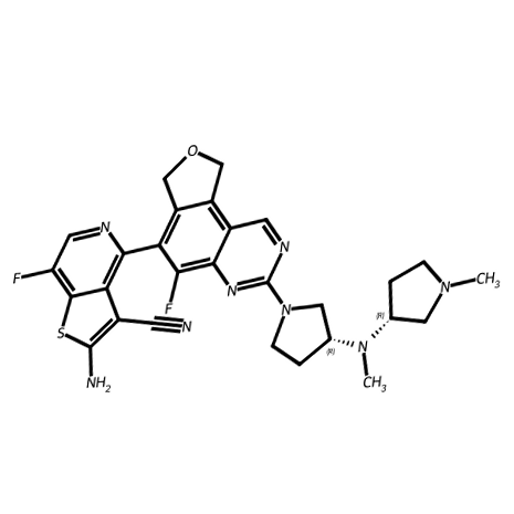 CN1CC[C@@H](N(C)[C@@H]2CCN(c3ncc4c5c(c(-c6ncc(F)c7sc(N)c(C#N)c67)c(F)c4n3)COC5)C2)C1